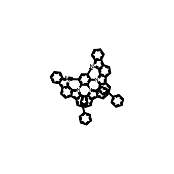 N#Cc1cc(C#N)c(-n2c3ccc(-c4ccccc4)cc3c3ccc4c5ccccc5sc4c32)c(-n2c3ccccc3c3ccccc32)c1-n1c2ccc(-c3ccccc3)cc2c2ccc3c4ccccc4sc3c21